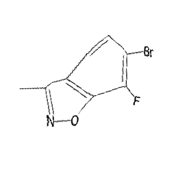 Cc1noc2c(F)c(Br)ccc12